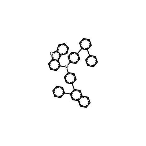 c1ccc(-c2ccccc2-c2ccc(N(c3ccc(-c4cc5ccccc5cc4-c4ccccc4)cc3)c3cccc4oc5ccccc5c34)cc2)cc1